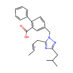 C/C=C/Cc1nc(CC(C)C)nn1Cc1ccc(-c2ccccc2)c(C(=O)O)c1